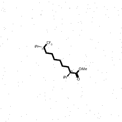 COC(=O)[C@H](CCCCCC[C@H](C(C)C)C(F)(F)F)C(C)C